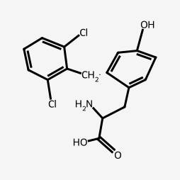 NC(Cc1ccc(O)cc1)C(=O)O.[CH2]c1c(Cl)cccc1Cl